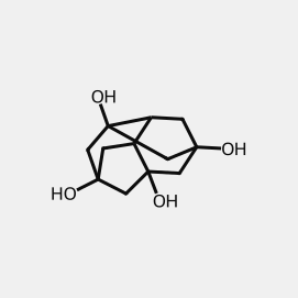 OC12CC3C4CC(O)(CC3(O)C1)CC4(O)C2